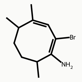 C/C1=C/C(Br)=C(/N)C(C)CCC1C